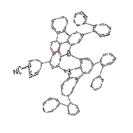 N#Cc1ccc(-c2cc3c4c(c2)-n2c5ccc(-c6ccccc6-c6ccccc6)cc5c5cc(-c6ccccc6-c6ccccc6)cc(c52)B4c2cc(-c4ccccc4-c4ccccc4)cc(-c4ccccc4-c4ccccc4)c2O3)cc1